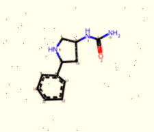 NC(=O)NC1CNC(c2ccccc2)C1